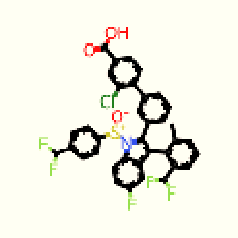 Cc1cccc(C(F)F)c1-c1c(-c2cccc(-c3ccc(C(=O)O)cc3Cl)c2)n([S+]([O-])c2ccc(C(F)F)cc2)c2ccc(F)cc12